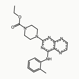 CCOC(=O)N1CCN(c2nc(NC3=CC=C=C=C3C)c3nccnc3n2)CC1